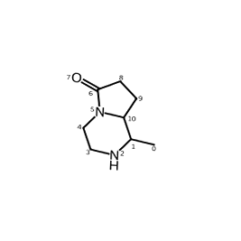 CC1NCCN2C(=O)CCC12